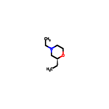 CC[C@@H]1CN(CC)CCO1